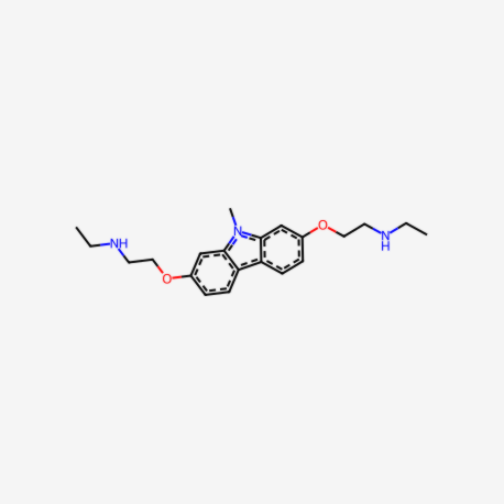 CCNCCOc1ccc2c3ccc(OCCNCC)cc3n(C)c2c1